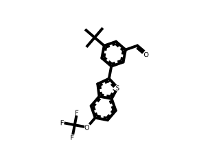 CC(C)(C)c1cc(C=O)cc(-c2cc3cc(OC(F)(F)F)ccc3s2)c1